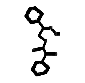 O=C(OCC(=NO)c1ccccc1)C(=O)c1ccccc1